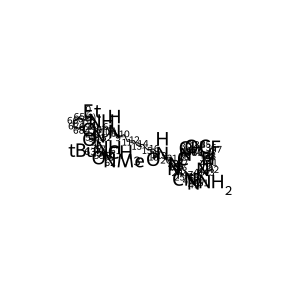 CC[C@H](NC(=O)[C@H]1C[C@@H](NCCCCCCCCC(=O)NCCn2nc(C#N)c3c2CN(C)C(=O)c2ccc(F)cc2[C@H]2CCCN2c2cc-3cnc2N)CN1C(=O)C(NC(=O)[C@@H](C)NC)C(C)(C)C)c1ccccc1